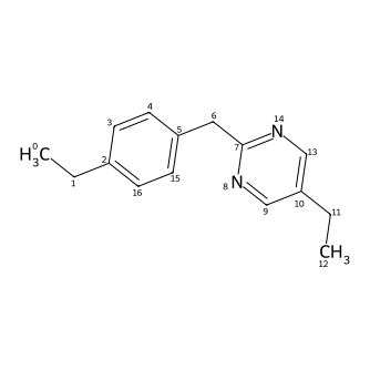 CCc1ccc(Cc2ncc(CC)cn2)cc1